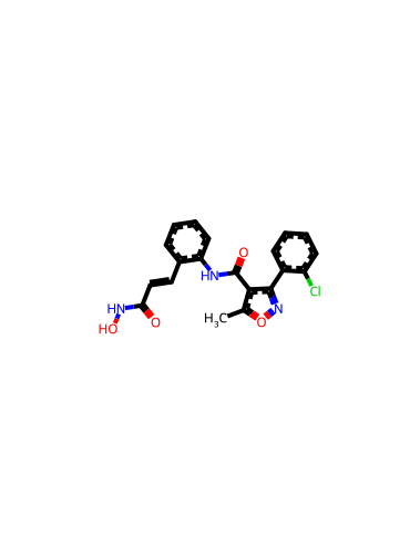 Cc1onc(-c2ccccc2Cl)c1C(=O)Nc1ccccc1C=CC(=O)NO